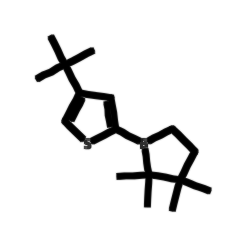 CC(C)(C)c1csc(B2CCC(C)(C)C2(C)C)c1